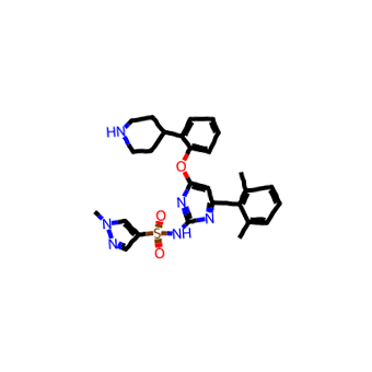 Cc1cccc(C)c1-c1cc(Oc2ccccc2C2CCNCC2)nc(NS(=O)(=O)c2cnn(C)c2)n1